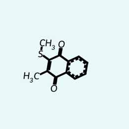 CSC1=C(C)C(=O)c2ccccc2C1=O